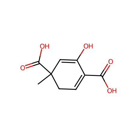 CC1(C(=O)O)C=C(O)C(C(=O)O)=CC1